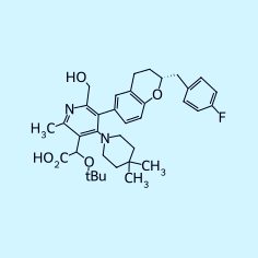 Cc1nc(CO)c(-c2ccc3c(c2)CC[C@H](Cc2ccc(F)cc2)O3)c(N2CCC(C)(C)CC2)c1C(OC(C)(C)C)C(=O)O